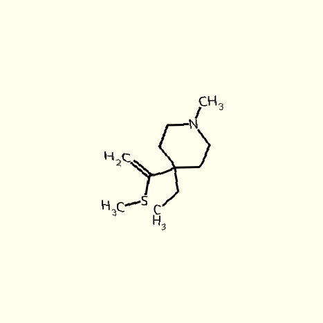 C=C(SC)C1(CC)CCN(C)CC1